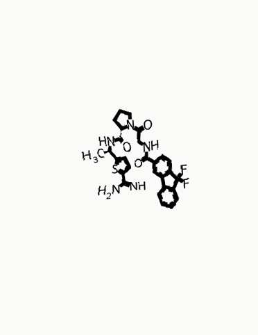 C[C@@H](NC(=O)[C@@H]1CCCN1C(=O)CNC(=O)c1ccc2c(c1)-c1ccccc1C2(F)F)c1ccc(C(=N)N)s1